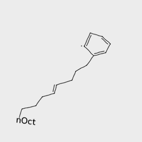 CCCCCCCCCCCC=CCCCc1[c]cccc1